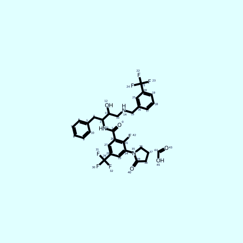 O=C(NC(Cc1ccccc1)C(O)CNCc1cccc(C(F)(F)F)c1)c1cc(C(F)(F)F)cc(N2CCCC2=O)c1F.O=CO